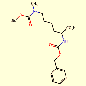 CN(CCCC[C@H](NC(=O)OCc1ccccc1)C(=O)O)C(=O)OC(C)(C)C